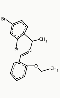 CCOc1ccccc1C=NC(C)c1ccc(Br)cc1Br